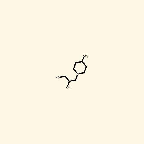 CC1CCN(CC(C)CO)CC1